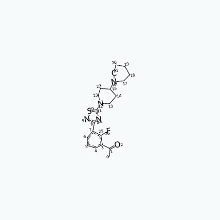 CC(=O)c1cccc(-c2nsc(N3CCC(N4CCCCC4)CC3)n2)c1F